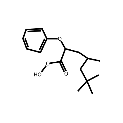 CC(CC(Oc1ccccc1)C(=O)OO)CC(C)(C)C